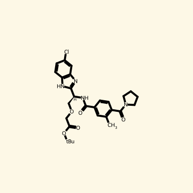 Cc1cc(C(=O)N[C@@H](COCC(=O)OC(C)(C)C)c2nc3cc(Cl)ccc3[nH]2)ccc1C(=O)N1CCCC1